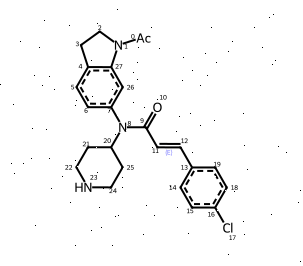 CC(=O)N1CCc2ccc(N(C(=O)/C=C/c3ccc(Cl)cc3)C3CCNCC3)cc21